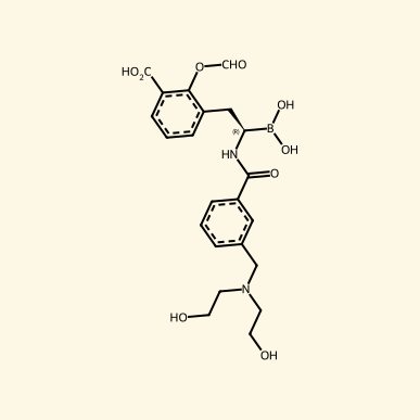 O=COc1c(C[C@H](NC(=O)c2cccc(CN(CCO)CCO)c2)B(O)O)cccc1C(=O)O